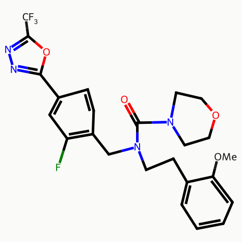 COc1ccccc1CCN(Cc1ccc(-c2nnc(C(F)(F)F)o2)cc1F)C(=O)N1CCOCC1